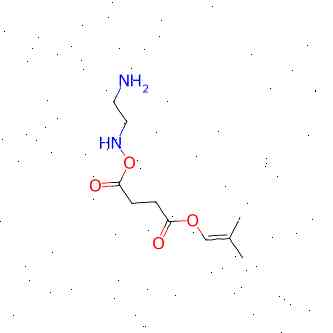 CC(C)=COC(=O)CCC(=O)ONCCN